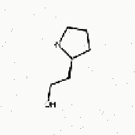 OCC[C@@H]1CCC[N]1